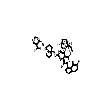 Cc1c(F)ccc2cccc(-c3nc4c5c(nc(OC[C@@]67CCCN6[C@H](COc6ncncc6C(F)F)CC7)nc5c3F)N3C[C@H]5CC[C@H](N5)[C@H]3CCC4)c12